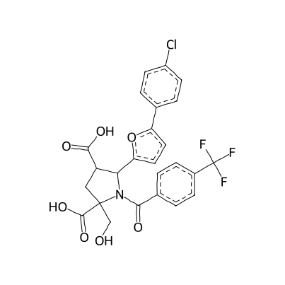 O=C(O)C1CC(CO)(C(=O)O)N(C(=O)c2ccc(C(F)(F)F)cc2)C1c1ccc(-c2ccc(Cl)cc2)o1